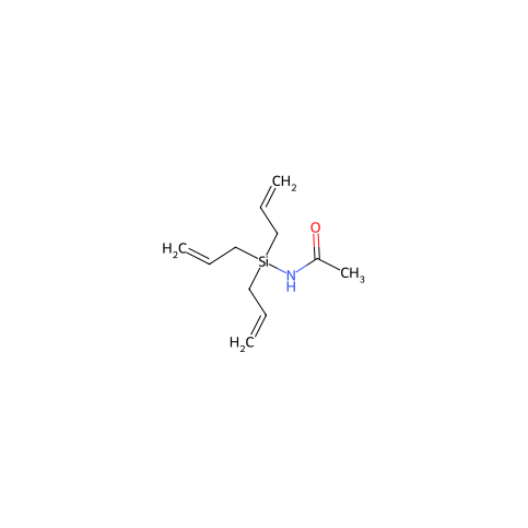 C=CC[Si](CC=C)(CC=C)NC(C)=O